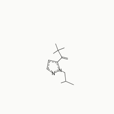 C=C(c1ccnn1CC(C)C)C(C)(C)C